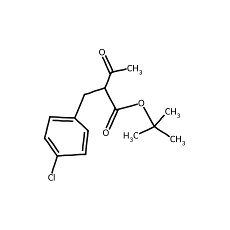 CC(=O)C(Cc1ccc(Cl)cc1)C(=O)OC(C)(C)C